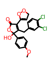 COc1ccc(C2(O)OC(=O)C(C3=CCOO3)=C2Cc2ccc(Cl)c(Cl)c2)cc1